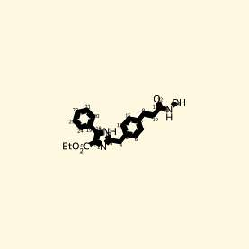 CCOC(=O)c1nc(Cc2ccc(/C=C/C(=O)NO)cc2)[nH]c1-c1ccccc1